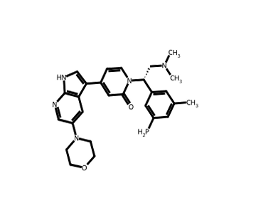 Cc1cc(P)cc([C@@H](CN(C)C)n2ccc(-c3c[nH]c4ncc(N5CCOCC5)cc34)cc2=O)c1